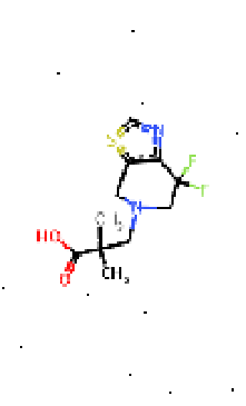 CC(C)(CN1Cc2scnc2C(F)(F)C1)C(=O)O